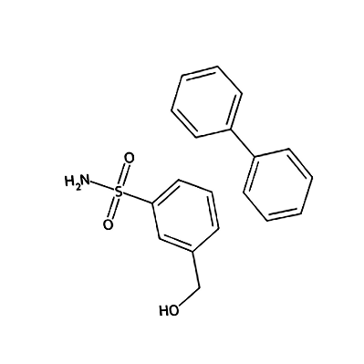 NS(=O)(=O)c1cccc(CO)c1.c1ccc(-c2ccccc2)cc1